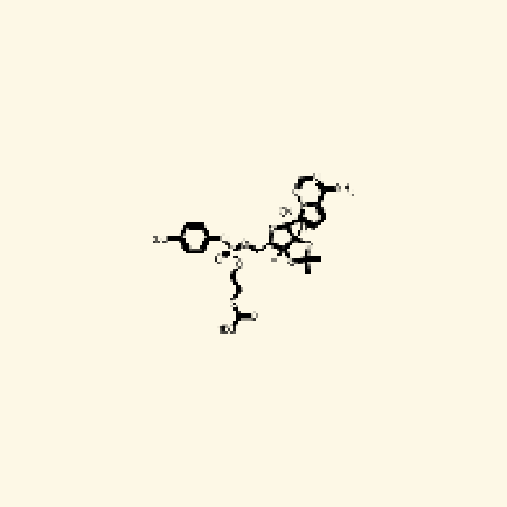 CC1(C)O[C@H]2[C@@H](O1)[C@](C#N)(c1ccc3c(N)ncnn13)O[C@@H]2COP(=O)(OCCSC(=O)C(C)(C)C)Oc1ccc(C(C)(C)C)cc1